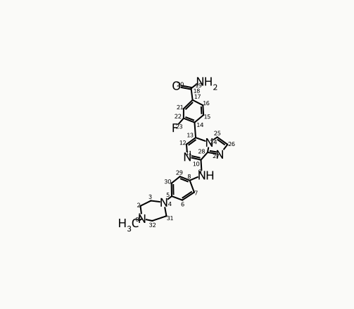 CN1CCN(c2ccc(Nc3ncc(-c4ccc(C(N)=O)cc4F)n4ccnc34)cc2)CC1